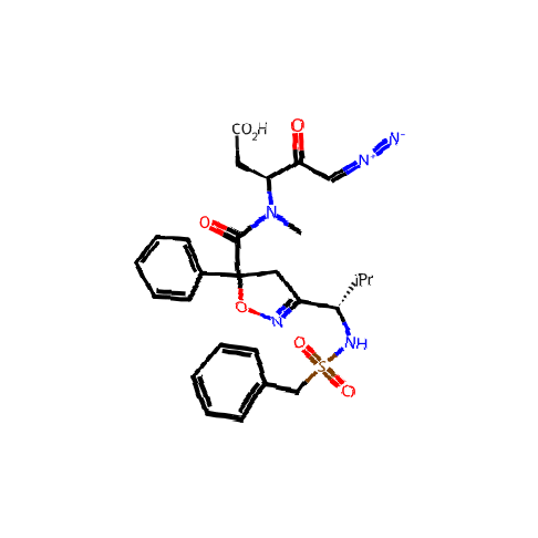 CC(C)[C@H](NS(=O)(=O)Cc1ccccc1)C1=NOC(C(=O)N(C)[C@@H](CC(=O)O)C(=O)C=[N+]=[N-])(c2ccccc2)C1